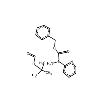 CC(C)(C)OC=O.NN(C(=O)OCc1ccccc1)c1ccccn1